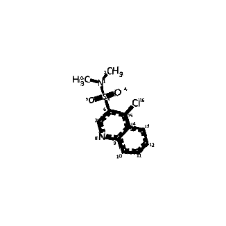 CN(C)S(=O)(=O)c1cnc2ccccc2c1Cl